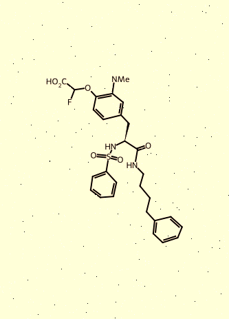 CNc1cc(C[C@H](NS(=O)(=O)c2ccccc2)C(=O)NCCCCc2ccccc2)ccc1OC(F)C(=O)O